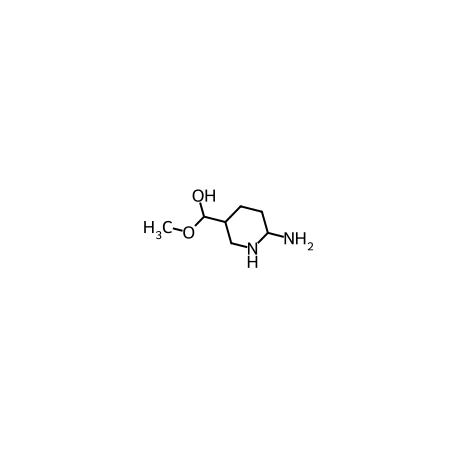 COC(O)C1CCC(N)NC1